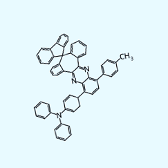 Cc1ccc(-c2ccc(C3C=CC(N(c4ccccc4)c4ccccc4)=CC3)c3nc4c(nc23)-c2ccccc2C2(c3ccccc3-c3ccccc32)c2ccccc2-4)cc1